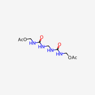 CC(=O)OCNC(=O)NCNC(=O)NCOC(C)=O